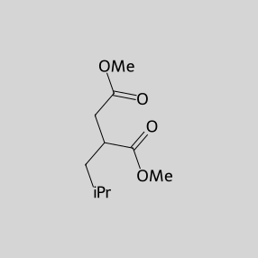 COC(=O)CC(CC(C)C)C(=O)OC